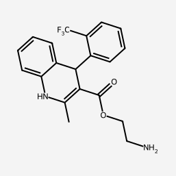 CC1=C(C(=O)OCCN)C(c2ccccc2C(F)(F)F)c2ccccc2N1